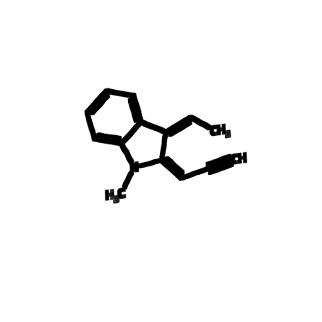 C#C/C=c1\c(=C/C)c2ccccc2n1C